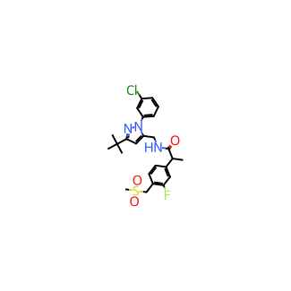 CC(C(=O)NCc1cc(C(C)(C)C)nn1-c1cccc(Cl)c1)c1ccc(CS(C)(=O)=O)c(F)c1